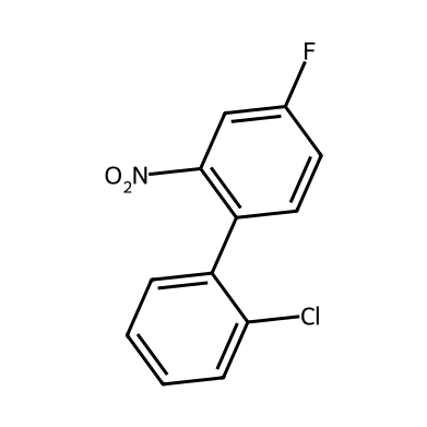 O=[N+]([O-])c1cc(F)ccc1-c1ccccc1Cl